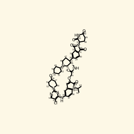 CNC(=O)COc1cc2cc(Nc3nc(N4CCC(O[C@H]5CC[C@H](N6CCC(c7ccc8c(c7)C(=O)N(C7CCC(=O)NC7=O)C8=O)CC6)CC5)CC4)ncc3Cl)ccc2n(C(C)C)c1=O